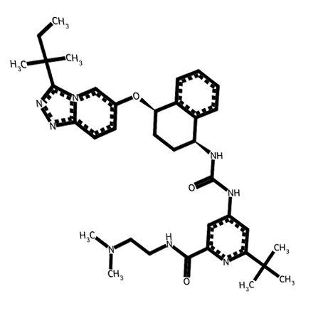 CCC(C)(C)c1nnc2ccc(O[C@@H]3CC[C@H](NC(=O)Nc4cc(C(=O)NCCN(C)C)nc(C(C)(C)C)c4)c4ccccc43)cn12